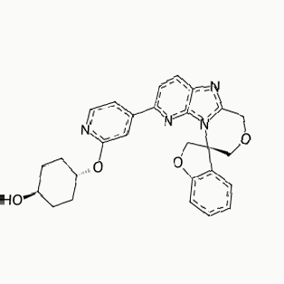 O[C@H]1CC[C@H](Oc2cc(-c3ccc4nc5n(c4n3)[C@@]3(COC5)COc4ccccc43)ccn2)CC1